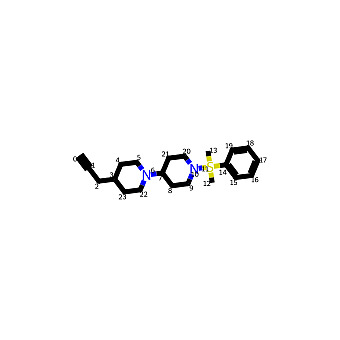 C#CCC1CCN(C2CCN(S(C)(C)c3ccccc3)CC2)CC1